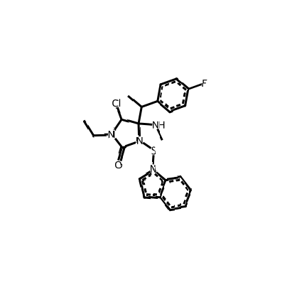 CCN1C(=O)N(Sn2ccc3ccccc32)C(NC)(C(C)c2ccc(F)cc2)C1Cl